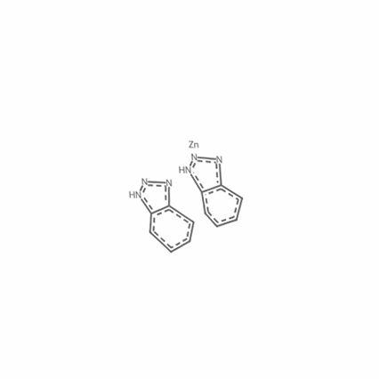 [Zn].c1ccc2[nH]nnc2c1.c1ccc2[nH]nnc2c1